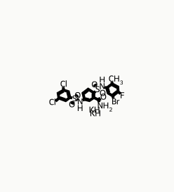 Cc1cc(F)c(Br)cc1NS(=O)(=O)c1ccc(NS(=O)(=O)c2cc(Cl)cc(Cl)c2)cc1C(N)=O.[KH].[KH]